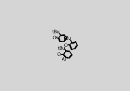 CC(C)(C)c1ccccc1[O-].CC(C)(C)c1ccccc1[O-].CC(C)(C)c1ccccc1[O-].[Al+3]